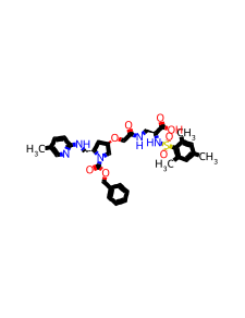 Cc1ccc(NC[C@@H]2C[C@@H](OCC(=O)NC[C@H](NS(=O)(=O)c3c(C)cc(C)cc3C)C(=O)O)CN2C(=O)OCc2ccccc2)nc1